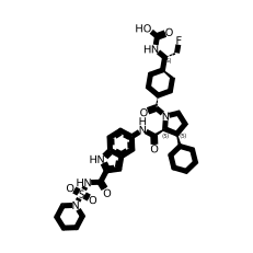 O=C(O)N[C@H](CF)[C@H]1CC[C@H](C(=O)N2CC[C@@H](C3CCCCC3)[C@H]2C(=O)Nc2ccc3[nH]c(C(=O)NS(=O)(=O)N4CCCCC4)cc3c2)CC1